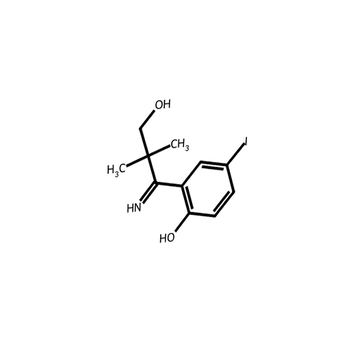 CC(C)(CO)C(=N)c1cc(I)ccc1O